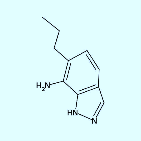 CCCc1ccc2cn[nH]c2c1N